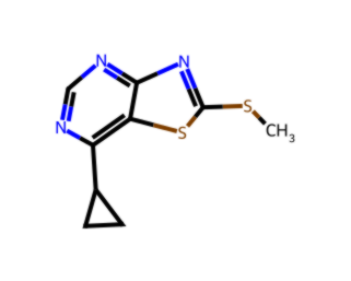 CSc1nc2ncnc(C3CC3)c2s1